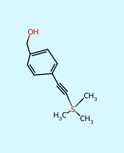 CS(C)(C)C#Cc1ccc(CO)cc1